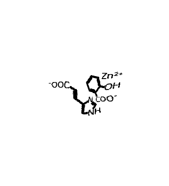 O=C([O-])C=Cc1c[nH]cn1.O=C([O-])c1ccccc1O.[Zn+2]